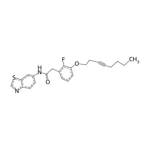 CCCCC#CCCOc1cccc(CC(=O)Nc2ccc3ncsc3c2)c1F